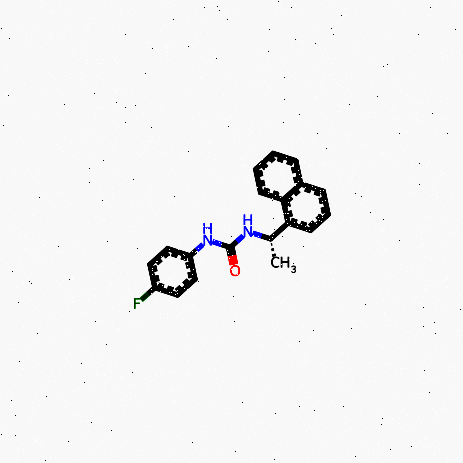 C[C@H](NC(=O)Nc1ccc(F)cc1)c1cccc2ccccc12